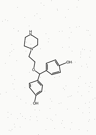 Oc1ccc(C(OCCN2CCNCC2)c2ccc(O)cc2)cc1